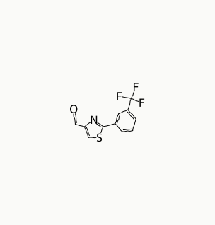 O=Cc1csc(-c2cccc(C(F)(F)F)c2)n1